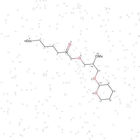 CCCCCCCCCCCCCCC(=O)COCC(COC1CCCCO1)OC